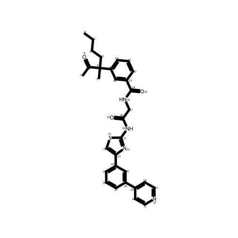 CCCCC(C)(C(C)=O)c1cccc(C(=O)NCC(=O)Nc2nc(-c3cccc(-c4ccncc4)c3)cs2)c1